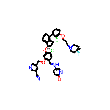 CC1(F)CCN(CCCOc2cccc(-c3cccc4c3CC[C@@H]4Oc3cc(OCc4cncc(C#N)c4)c(CN[C@@H]4CCC(=O)NC4)cc3Cl)c2Cl)CC1